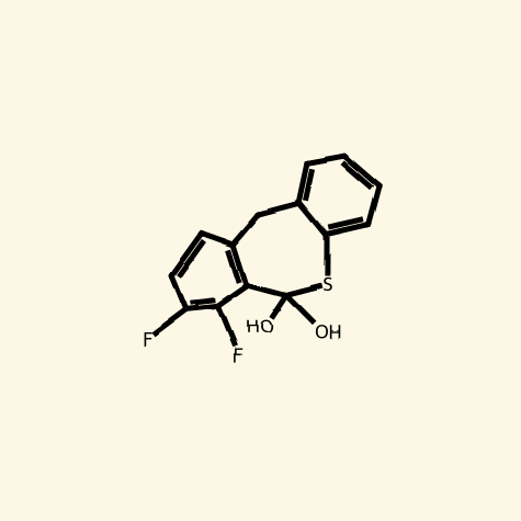 OC1(O)Sc2ccccc2Cc2ccc(F)c(F)c21